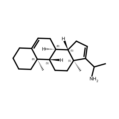 CC(N)C1=CC[C@H]2[C@@H]3CC=C4CCCC[C@]4(C)[C@H]3CC[C@]12C